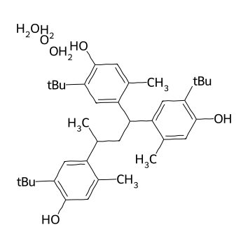 Cc1cc(O)c(C(C)(C)C)cc1C(C)CC(c1cc(C(C)(C)C)c(O)cc1C)c1cc(C(C)(C)C)c(O)cc1C.O.O.O